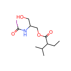 CCC(C(=O)OCC(CO)NC(=O)I)C(C)C